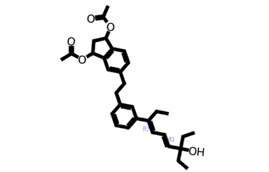 CC/C(=C\C=C\C(O)(CC)CC)c1cccc(CCc2ccc3c(c2)C(OC(C)=O)CC3OC(C)=O)c1